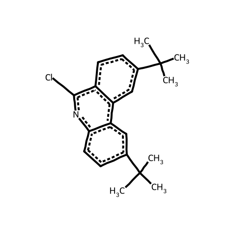 CC(C)(C)c1ccc2nc(Cl)c3ccc(C(C)(C)C)cc3c2c1